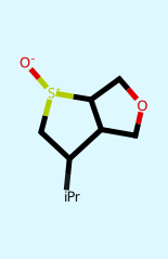 CC(C)C1C[S+]([O-])C2COCC12